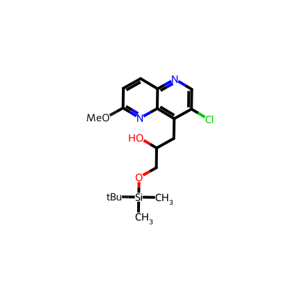 COc1ccc2ncc(Cl)c(CC(O)CO[Si](C)(C)C(C)(C)C)c2n1